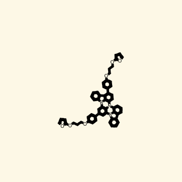 c1coc(OCCCOc2ccc(-c3cc4c5c(c3)B3c6ccccc6-c6c(-c7ccc(OCCCOc8ccco8)cc7)ccc(c63)N5c3cccc5c3B4c3ccccc3-5)cc2)c1